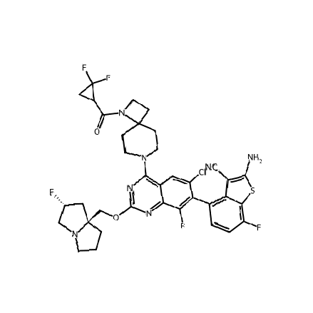 N#Cc1c(N)sc2c(F)ccc(-c3c(Cl)cc4c(N5CCC6(CC5)CCN6C(=O)C5CC5(F)F)nc(OC[C@@]56CCCN5C[C@H](F)C6)nc4c3F)c12